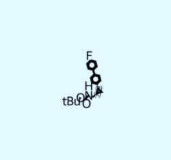 CC(C)(C)OC(=O)NC[C@@H]1C[C@H]1c1ccc(-c2ccc(F)cc2)cc1